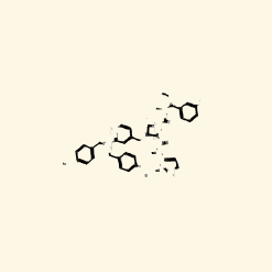 CC[C@H](c1cccc(Cl)c1)N(C)C(=O)N1C(=O)[C@H](Cc2ccnc(N(Cc3ccc(OC)cc3)Cc3ccc(OC)cc3)c2)[C@H]1C(=O)N(C)c1ccnn1C